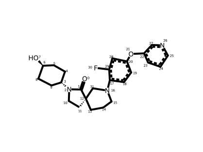 O=C1N([C@H]2CC[C@H](O)CC2)CC[C@]12CCCN(c1ccc(Oc3cccnc3)cc1F)C2